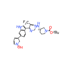 CC(C)(C)OC(=O)N1CCC[C@H](NN2C=C(C(F)(F)F)C(c3c[nH]c4cc(C5=CC=CN(O)C5)ccc34)=NC2)C1